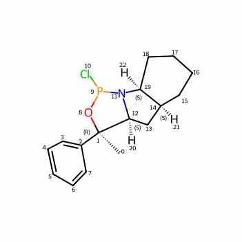 C[C@]1(c2ccccc2)OP(Cl)N2[C@H]1C[C@@H]1CCCC[C@@H]12